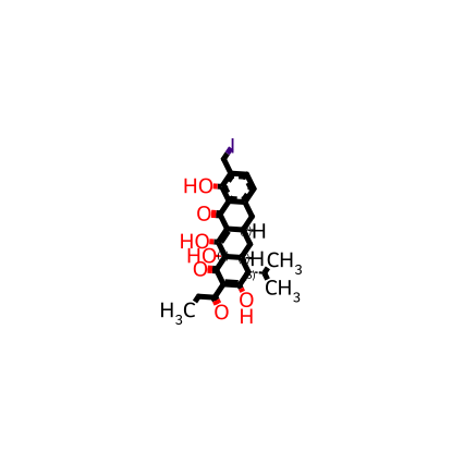 CCC(=O)C1=C(O)[C@@H](C(C)C)[C@@H]2C[C@@H]3Cc4ccc(CI)c(O)c4C(=O)C3=C(O)[C@]2(O)C1=O